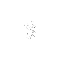 COc1cccc(CN(Cc2cccc(OC)c2)C(=O)[C@@H](CCCCNC(=O)OCc2ccccc2)NC(=O)OC(C)(C)C)c1.COc1cccc(CN(Cc2cccs2)C(=O)[C@@H](CCCCN(Cc2ccccc2)C(=O)O)NC(=O)OC(C)(C)C)c1